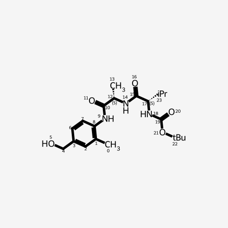 Cc1cc(CO)ccc1NC(=O)[C@H](C)NC(=O)[C@@H](NC(=O)OC(C)(C)C)C(C)C